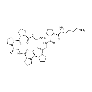 NCCCC[C@H](N)C(=O)N1CCC[C@H]1C(=O)NCC(=O)N1CCC[C@H]1C(=O)N1CCC[C@H]1C(=O)NCC(=O)N1CCC[C@H]1C(=O)N1CCC[C@H]1C(=O)NCC(=O)O